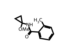 COC1(NC(=O)c2ccccc2C)CC1